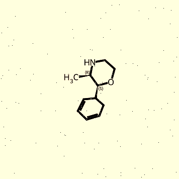 C[C@H]1NCCO[C@H]1C1C=CC=CC1